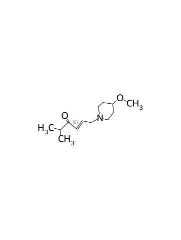 COC1CCN(C/C=C/C(=O)C(C)C)CC1